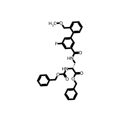 COCc1ccccc1-c1cc(F)cc(C(=O)NC[C@@H](NC(=O)OCc2ccccc2)C(=O)OCc2ccccc2)c1